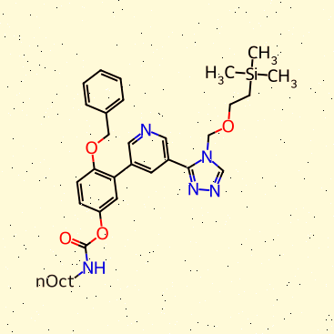 CCCCCCCCNC(=O)Oc1ccc(OCc2ccccc2)c(-c2cncc(-c3nncn3COCC[Si](C)(C)C)c2)c1